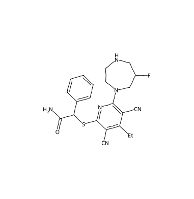 CCc1c(C#N)c(SC(C(N)=O)c2ccccc2)nc(N2CCNCC(F)C2)c1C#N